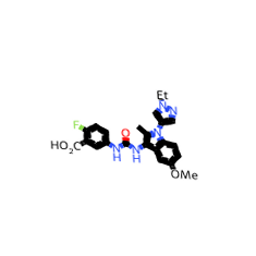 CCn1cc(-n2c(C)c(NC(=O)Nc3ccc(F)c(C(=O)O)c3)c3cc(OC)ccc32)cn1